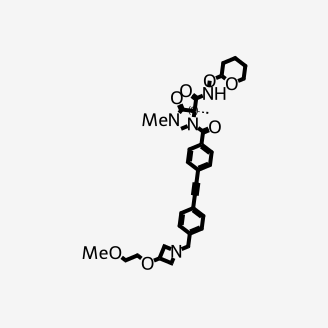 CNC(=O)[C@@](C)(C(=O)NOC1CCCCO1)N(C)C(=O)c1ccc(C#Cc2ccc(CN3CC(OCCOC)C3)cc2)cc1